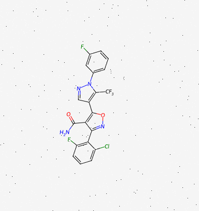 NC(=O)c1c(-c2c(F)cccc2Cl)noc1-c1cnn(-c2cccc(F)c2)c1C(F)(F)F